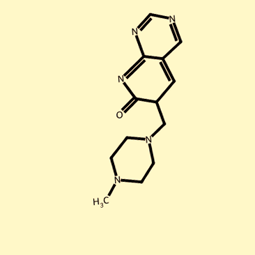 CN1CCN(CC2C=c3cncnc3=NC2=O)CC1